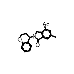 CC(=O)c1cc(C)cc2c1CN(C1CCOc3ccccc31)C2=O